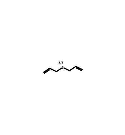 C=CCSCC=C.S